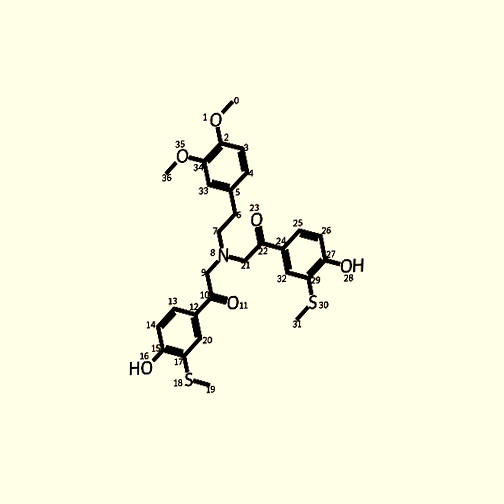 COc1ccc(CCN(CC(=O)c2ccc(O)c(SC)c2)CC(=O)c2ccc(O)c(SC)c2)cc1OC